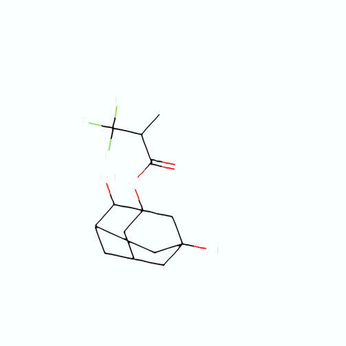 CC(C(=O)OC12CC3CC(CC(O)(C3)C1)C2O)C(F)(F)F